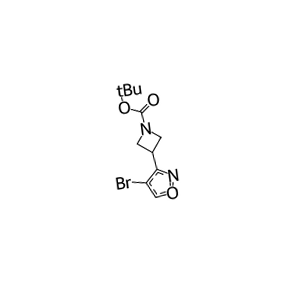 CC(C)(C)OC(=O)N1CC(c2nocc2Br)C1